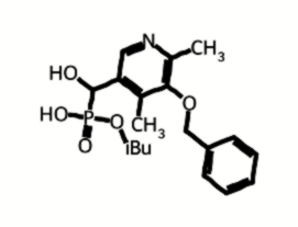 CCC(C)OP(=O)(O)C(O)c1cnc(C)c(OCc2ccccc2)c1C